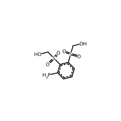 O=S(=O)(CO)c1cccc(P)c1S(=O)(=O)CO